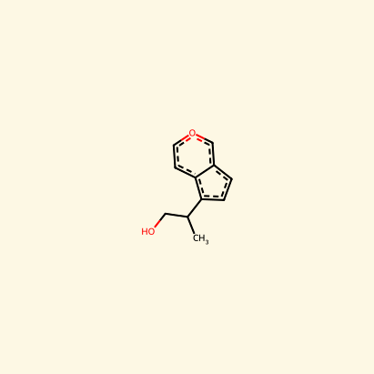 CC(CO)c1ccc2coccc1-2